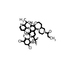 CCC(=O)N1CCN2c3c(c(=O)n(-c4c(C)ccnc4C(C)C)c4c(=O)n(C5C(F)=C(Cl)CC(Cl)[C@H]5N)c(C(F)(F)F)cc34)OCCC2C1